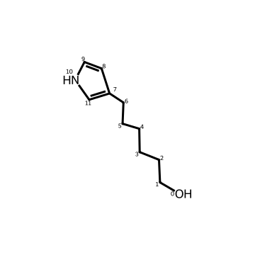 OCCCCCCc1cc[nH]c1